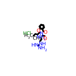 CC(C)C[C@H](N)C(=O)N(C(=O)c1ccccc1)[C@H](C=O)CCCNC(=N)N.Cl